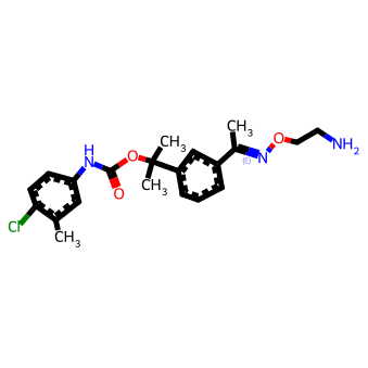 C/C(=N\OCCN)c1cccc(C(C)(C)OC(=O)Nc2ccc(Cl)c(C)c2)c1